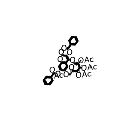 CC(=O)OC[C@H]1O[C@H](Oc2c(OC(=O)c3ccccc3)c(=O)oc3cc(OC(=O)c4ccccc4)ccc23)[C@@H](OC(C)=O)[C@@H](OC(C)=O)[C@@H]1OC(C)=O